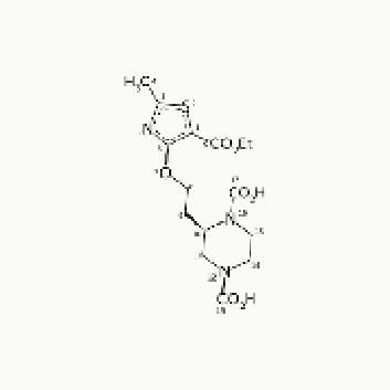 CCOC(=O)c1sc(C)nc1OCC[C@@H]1CN(C(=O)O)CCN1C(=O)O